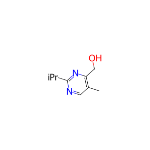 Cc1cnc(C(C)C)nc1CO